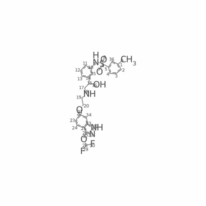 Cc1cccc(S(=O)(=O)Nc2cccc(C(O)CNCCOc3ccc4c(OC(F)F)n[nH]c4c3)c2)c1